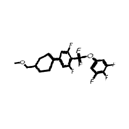 COCC1CCC(c2cc(F)c(C(F)(F)Oc3cc(F)c(F)c(F)c3)c(F)c2)CC1